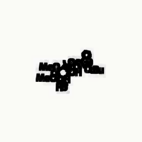 CO[C@H]1C(=O)[C@]2(C)[C@@H](OC)C[C@H]3OC[C@H]3[C@H]2C[C@]2(O)C[C@H](OC(=O)CC(NC(=O)OC(C)(C)C)c3ccccc3)C(C)=C1[C@H]2C